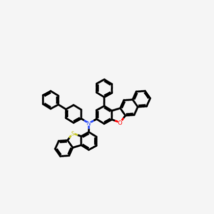 C1=C(c2ccccc2)CCC(N(c2cc(-c3ccccc3)c3c(c2)oc2cc4ccccc4cc23)c2cccc3c2sc2ccccc23)=C1